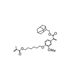 C=C(C)C(=O)OCCCCCCOc1ccc(C(=C)C(=O)OCC2C3CC4CC(C3)CC2C4)cc1OC